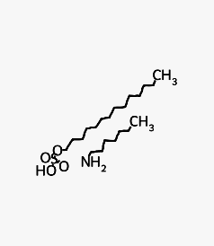 CCCCCCCCCCCCCCOS(=O)(=O)O.CCCCCCCN